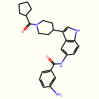 Nc1cccc(C(=O)Nc2ccc3[nH]cc(C4CCN(C(=O)C5CCCC5)CC4)c3c2)c1